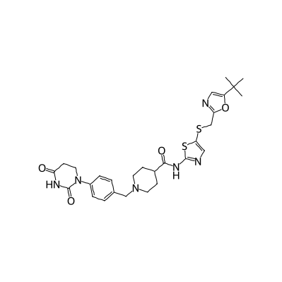 CC(C)(C)c1cnc(CSc2cnc(NC(=O)C3CCN(Cc4ccc(N5CCC(=O)NC5=O)cc4)CC3)s2)o1